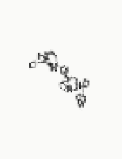 N#CCC1(n2cc(-c3ccnc(Cl)n3)cn2)CCN(C(=O)c2ccno2)CC1